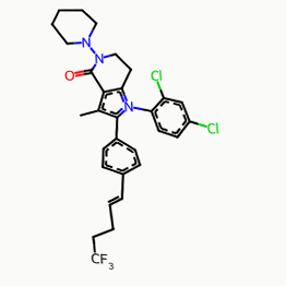 Cc1c2c(n(-c3ccc(Cl)cc3Cl)c1-c1ccc(C=CCCC(F)(F)F)cc1)CCN(N1CCCCC1)C2=O